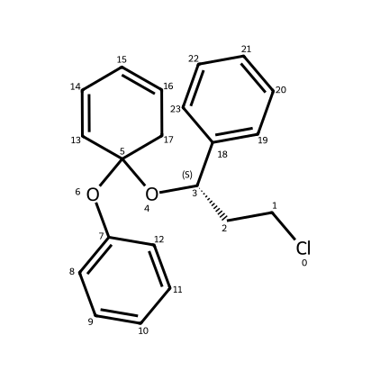 ClCC[C@H](OC1(Oc2ccccc2)C=CC=CC1)c1ccccc1